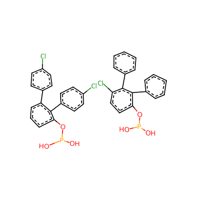 OP(O)Oc1ccc(Cl)c(-c2ccccc2)c1-c1ccccc1.OP(O)Oc1cccc(-c2ccc(Cl)cc2)c1-c1ccc(Cl)cc1